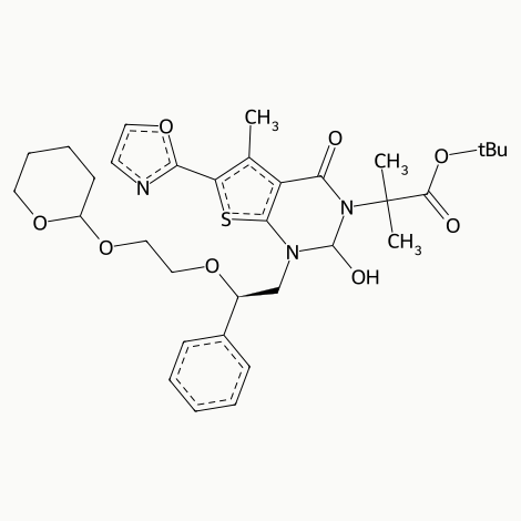 Cc1c(-c2ncco2)sc2c1C(=O)N(C(C)(C)C(=O)OC(C)(C)C)C(O)N2C[C@H](OCCOC1CCCCO1)c1ccccc1